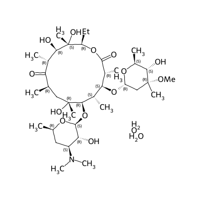 CC[C@H]1OC(=O)[C@H](C)[C@@H](O[C@H]2C[C@@](C)(OC)[C@@H](O)[C@H](C)O2)[C@H](C)[C@@H](O[C@@H]2O[C@H](C)C[C@H](N(C)C)[C@H]2O)[C@](C)(O)C[C@@H](C)C(=O)[C@H](C)[C@@H](O)[C@]1(C)O.O.O